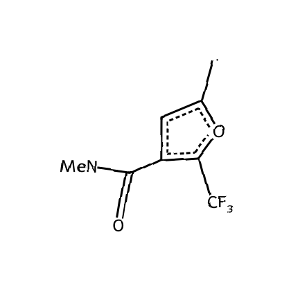 [CH2]c1cc(C(=O)NC)c(C(F)(F)F)o1